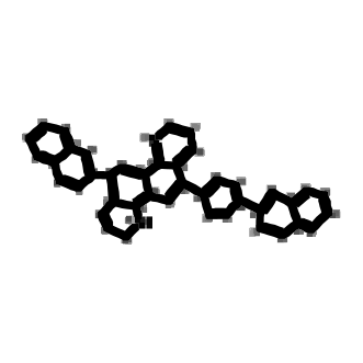 C1=Cc2c(-c3ccc4ccccc4c3)cc3c(cc(-c4ccc(-c5ccc6ccccc6c5)cc4)c4cccnc43)c2NC1